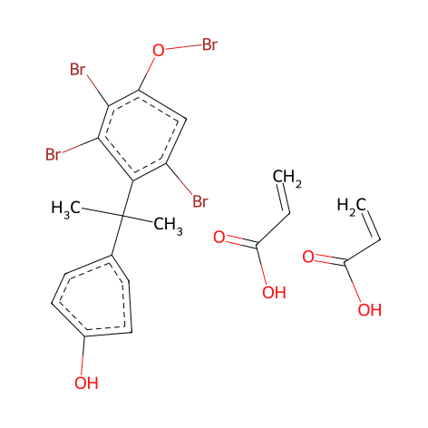 C=CC(=O)O.C=CC(=O)O.CC(C)(c1ccc(O)cc1)c1c(Br)cc(OBr)c(Br)c1Br